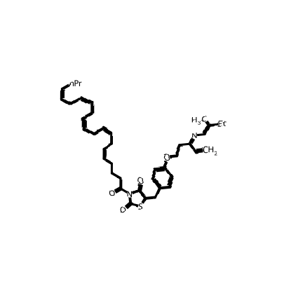 C=C/C(CCOc1ccc(CC2SC(=O)N(C(=O)CCC/C=C\C/C=C\C/C=C\C/C=C\C/C=C\CCC)C2=O)cc1)=N\C=C(/C)CC